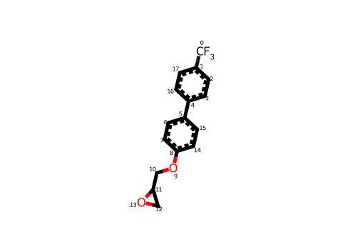 FC(F)(F)c1ccc(-c2ccc(OCC3CO3)cc2)cc1